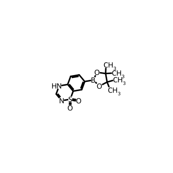 CC1(C)OB(c2ccc3c(c2)S(=O)(=O)N=CN3)OC1(C)C